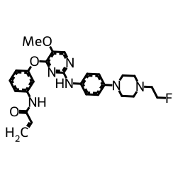 C=CC(=O)Nc1cccc(Oc2nc(Nc3ccc(N4CCN(CCF)CC4)cc3)ncc2OC)c1